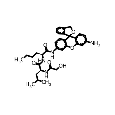 CCCC[C@H](NC(=O)[C@H](CC(C)C)NC(=O)CO)C(=O)Nc1ccc2c(c1)Oc1cc(N)ccc1C21OCc2ccccc21